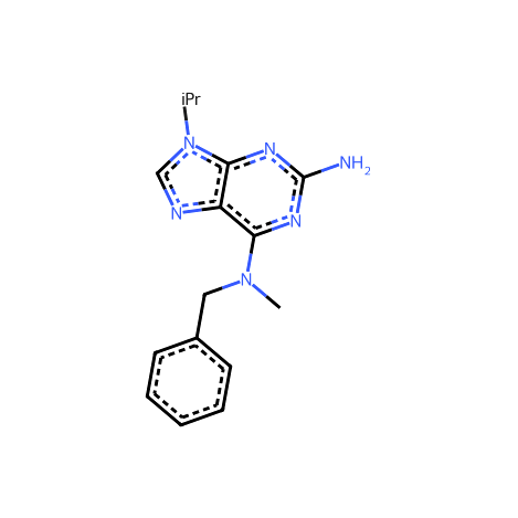 CC(C)n1cnc2c(N(C)Cc3ccccc3)nc(N)nc21